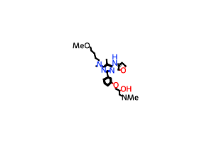 CNCC(O)COc1cccc(-c2nc(N[C@@H]3CCOC3)c(C)c(N(C)CCCCCOC)n2)c1